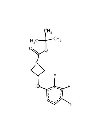 CC(C)(C)OC(=O)N1CC(Oc2ccc(F)c(F)c2F)C1